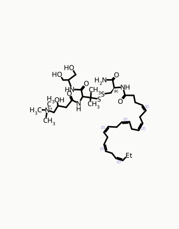 CC/C=C\C/C=C\C/C=C\C/C=C\C/C=C\C/C=C\CCC(=O)N[C@@H](CSSC(C)(C)C(NC(=O)CC(O)C[N+](C)(C)C)C(=O)NC(CO)CO)C(N)=O